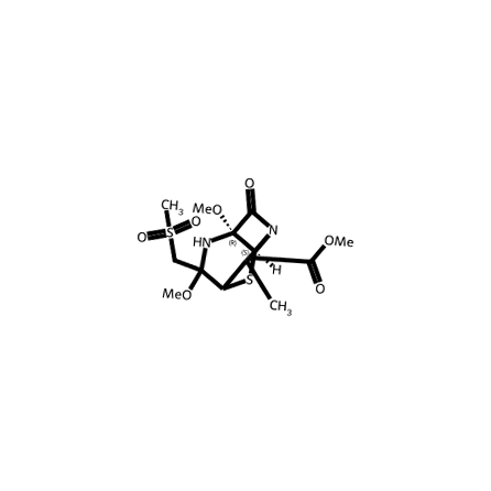 COC(=O)C1=C(C)C2S[C@@H]3N1C(=O)[C@]3(OC)NC2(CS(C)(=O)=O)OC